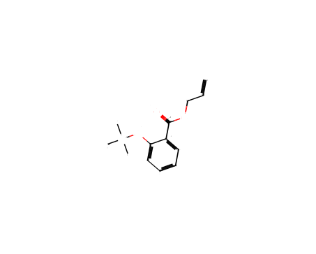 C=CCOC(=O)c1ccccc1O[Si](C)(C)C